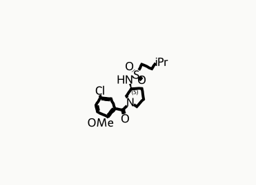 COc1ccc(Cl)cc1C(=O)N1CCC[C@H](NS(=O)(=O)CCC(C)C)C1